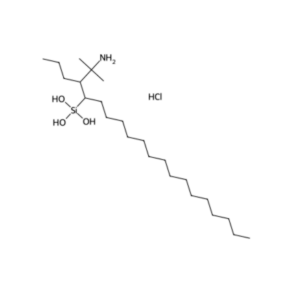 CCCCCCCCCCCCCCCC(C(CCC)C(C)(C)N)[Si](O)(O)O.Cl